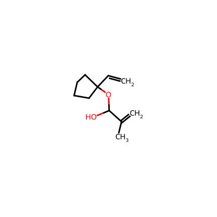 C=CC1(OC(O)C(=C)C)CCCC1